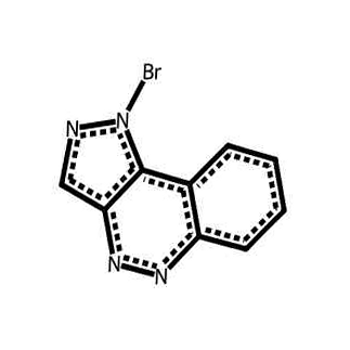 Brn1ncc2nnc3ccccc3c21